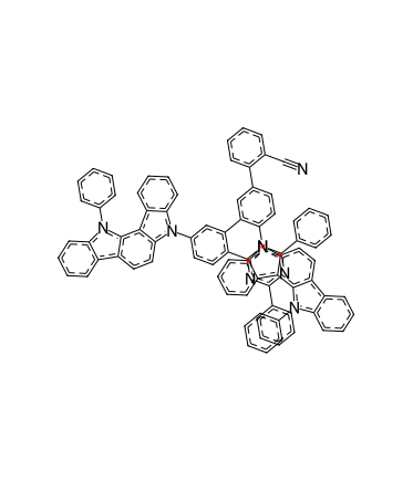 N#Cc1ccccc1-c1ccc(-n2c3ccccc3c3c2ccc2c4ccccc4n(-c4ccccc4)c23)c(-c2cc(-n3c4ccccc4c4c3ccc3c5ccccc5n(-c5ccccc5)c34)ccc2-c2nc(-c3ccccc3)nc(-c3ccccc3)n2)c1